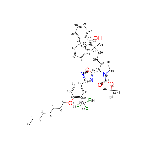 CCCCCCCCOc1ccc(-c2noc([C@@H]3[C@@H](CCC(C)(C)[Si](O)(c4ccccc4)c4ccccc4)CCN3C(=O)OC(C)(C)C)n2)cc1C(F)(F)F